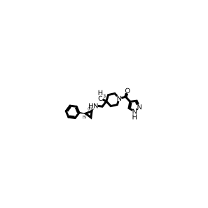 CC1(CN[C@@H]2C[C@H]2c2ccccc2)CCN(C(=O)c2cn[nH]c2)CC1